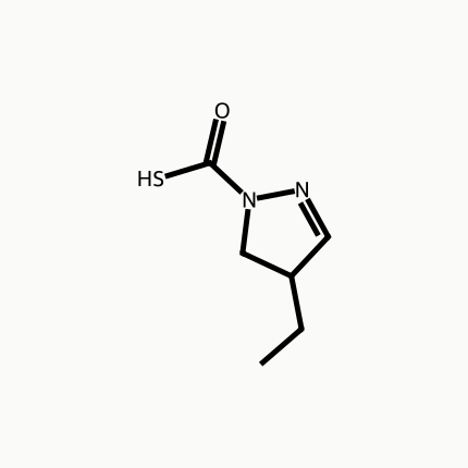 CCC1C=NN(C(=O)S)C1